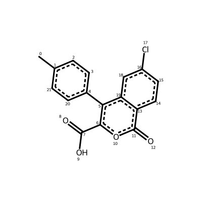 Cc1ccc(-c2c(C(=O)O)oc(=O)c3ccc(Cl)cc23)cc1